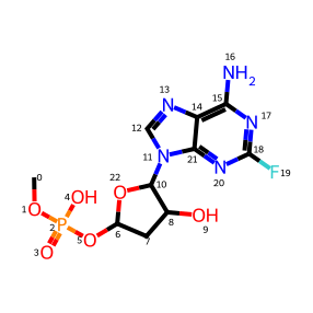 COP(=O)(O)OC1CC(O)C(n2cnc3c(N)nc(F)nc32)O1